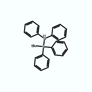 CC(C)(C)[Si](c1ccccc1)(c1ccccc1)[SiH](c1ccccc1)c1ccccc1